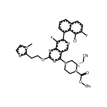 Cn1ccnc1CCOc1nc(N2CCN(C(=O)OC(C)(C)C)[C@@H](CC#N)C2)c2cnc(-c3cccc4ccc(F)c(Cl)c34)c(F)c2n1